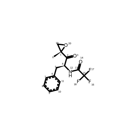 C[C@@]1(C(=O)[C@H](Cc2ccccc2)NC(=O)C(F)(F)F)CO1